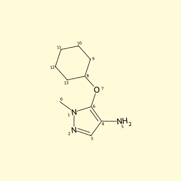 Cn1ncc(N)c1OC1CCCCC1